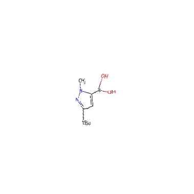 Cn1nc(C(C)(C)C)cc1B(O)O